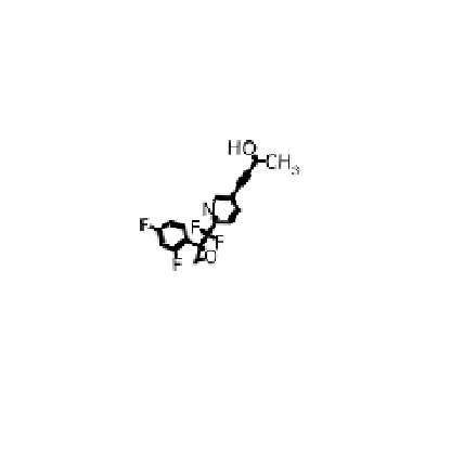 CC(O)C#Cc1ccc(C(F)(F)C2(c3ccc(F)cc3F)CO2)nc1